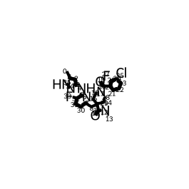 Cc1cc(Nc2nc(CC3(C(=O)N(C)C)CCN(C(=O)c4cccc(Cl)c4F)CC3)ccc2F)n[nH]1